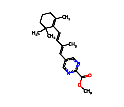 COC(=O)c1ncc(/C=C(C)/C=C/C2=C(C)CCCC2(C)C)cn1